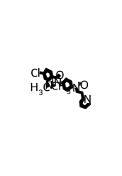 CN(C)c1cc(Cl)ccc1C(=O)Nc1ccc(N(C=O)CCc2ccccn2)cc1